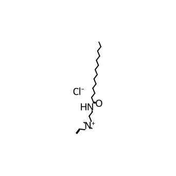 C=CC[N+](C)(C)CCCNC(=O)CCCCCCCCCCCCC.[Cl-]